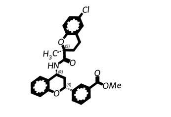 COC(=O)c1cccc([C@H]2C[C@@H](NC(=O)[C@]3(C)CCc4cc(Cl)ccc4O3)c3ccccc3O2)c1